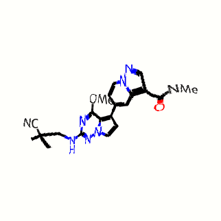 CNC(=O)c1cnn2ccc(-c3ccn4nc(NCC(C)(C)C#N)nc(OC)c34)cc12